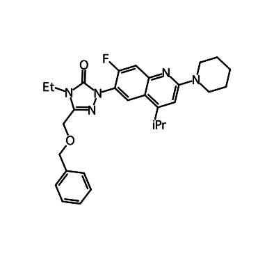 CCn1c(COCc2ccccc2)nn(-c2cc3c(C(C)C)cc(N4CCCCC4)nc3cc2F)c1=O